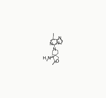 C[C@@H]1OCC2(CCN(c3ncc(I)c4nccn34)CC2)[C@@H]1N